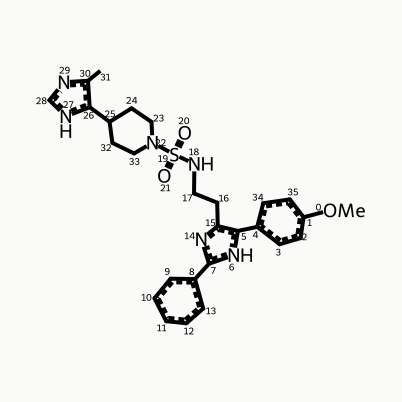 COc1ccc(-c2[nH]c(-c3ccccc3)nc2CCNS(=O)(=O)N2CCC(c3[nH]cnc3C)CC2)cc1